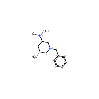 C[C@@H]1C[C@@H](N(C(=O)O)C(C)(C)C)CN(Cc2ccccc2)C1